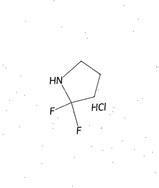 Cl.FC1(F)CCCN1